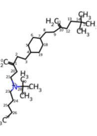 C=C(CCC1CCC(CCC(=C)CCC(C)(C)C)CC1)CCN(CCCCC)C(C)(C)C